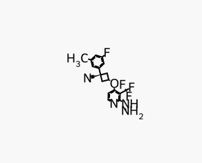 Cc1cc(F)cc([C@]2(C#N)C[C@@H](Oc3ccnc(NN)c3C(F)(F)F)C2)c1